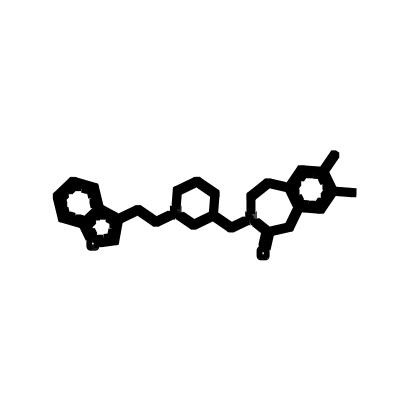 Cc1cc2c(cc1C)CC(=O)N(CC1CCCN(CCc3coc4ccccc34)C1)CC2